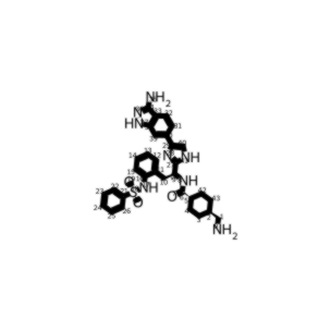 NC[C@H]1CC[C@H](C(=O)N[C@@H](Cc2ccccc2NS(=O)(=O)c2ccccc2)c2nc(-c3ccc4c(N)n[nH]c4c3)c[nH]2)CC1